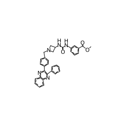 COC(=O)c1cccc(NC(=O)NC2CN(Cc3ccc(-c4nc5ccccc5nc4-c4ccccc4)cc3)C2)c1